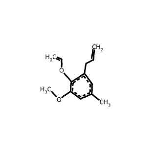 C=CCc1cc(C)cc(OC)c1OC=C